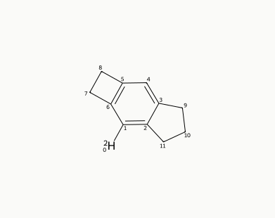 [2H]c1c2c(cc3c1CC3)CCC2